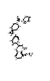 O=C(O)c1cccc2c1NCC(c1ccc([C@@H]3CC34CCN(C(=O)[C@H]3CCCO3)CC4)cc1)C2